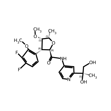 COc1c([C@@H]2[C@H](OC)[C@H](C)O[C@H]2C(=O)Nc2ccnc([C@](C)(O)CO)c2)ccc(F)c1F